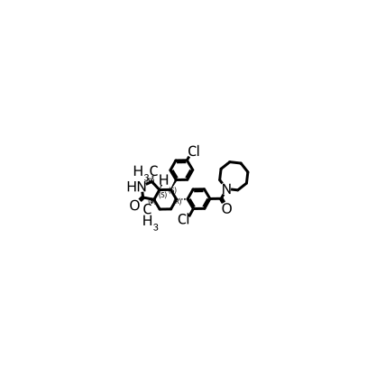 C[C@H]1NC(=O)[C@]2(C)CC[C@@H](c3ccc(C(=O)N4CCCCCCC4)cc3Cl)[C@H](c3ccc(Cl)cc3)[C@H]12